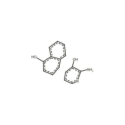 Nc1ncccc1O.Oc1cccc2ccccc12